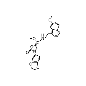 COc1ccc2nccc(CCNC[C@@H](O)[C@H]3CN(c4ccc5c(c4)OCCO5)C(=O)O3)c2c1